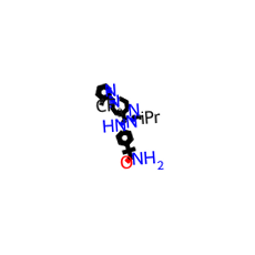 CC(C)C1=NC(Nc2ccc(C(C)(C)C(N)=O)cc2)C2=CCN(c3ncccc3C(F)(F)F)CCC2=N1